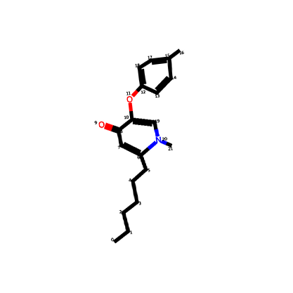 CCCCCCc1cc(=O)c(Oc2ccc(C)cc2)cn1C